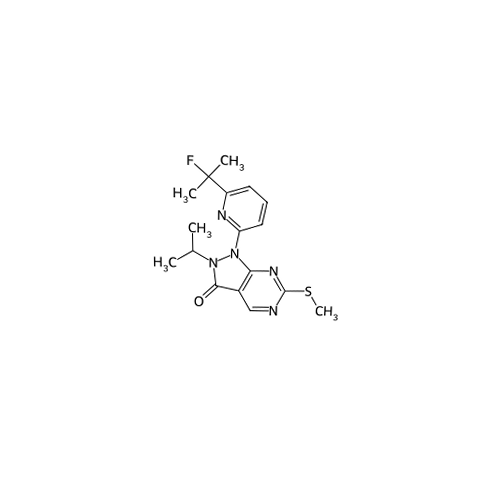 CSc1ncc2c(=O)n(C(C)C)n(-c3cccc(C(C)(C)F)n3)c2n1